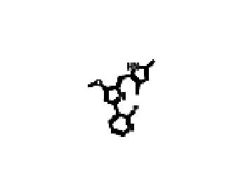 COC1=CC(c2cccnc2F)=N/C1=C\c1[nH]c(C)cc1C